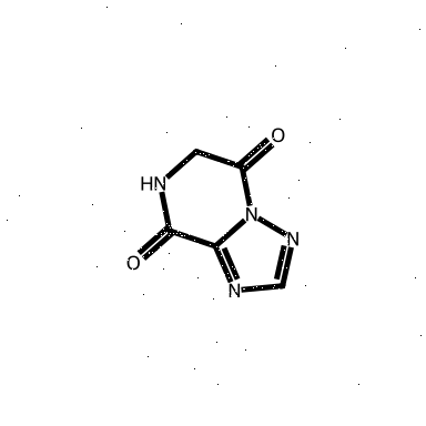 O=C1NCC(=O)n2ncnc21